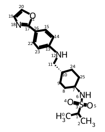 CC(C)S(=O)(=O)N[C@H]1CC[C@H](CNc2ccc(-c3ncco3)cc2)CC1